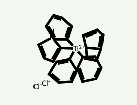 C1=C[C]2([Ti+2]([c]3ccccc3)([c]3ccccc3)([c]3ccccc3)[c]3ccc[pH]3)CCC2=C1.[Cl-].[Cl-]